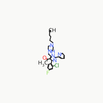 C#CCCCCN1CCN(CC2=C(C(C)=O)C(c3ccc(F)cc3Cl)N=C(c3ccccn3)N2)CC1